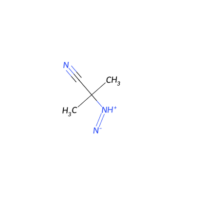 CC(C)(C#N)[NH+]=[N-]